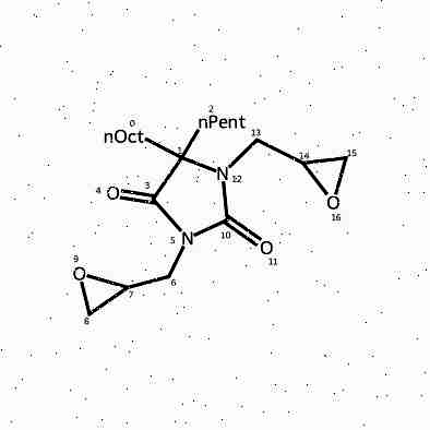 CCCCCCCCC1(CCCCC)C(=O)N(CC2CO2)C(=O)N1CC1CO1